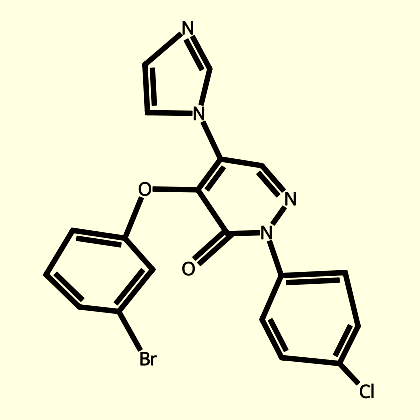 O=c1c(Oc2cccc(Br)c2)c(-n2ccnc2)cnn1-c1ccc(Cl)cc1